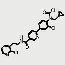 CC(=O)N(CC1CC1)c1ccc(-c2ccc(C(=O)NCCc3cccnc3Cl)cn2)cc1Cl